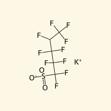 O=S(=O)([O-])C(F)(F)C(F)(F)C(F)(F)C(F)C(F)(F)F.[K+]